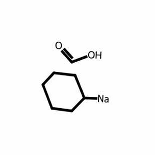 O=CO.[Na][CH]1CCCCC1